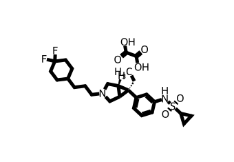 CC[C@]1(c2cccc(NS(=O)(=O)C3CC3)c2)C2CN(CCCC3CCC(F)(F)CC3)C[C@@H]21.O=C(O)C(=O)O